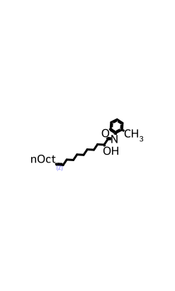 CCCCCCCC/C=C\CCCCCCCC(O)c1nc2c(C)cccc2o1